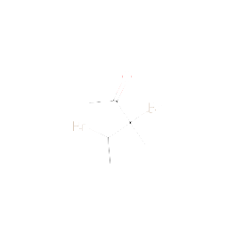 CC(=O)C(C)(Br)C(C)Br